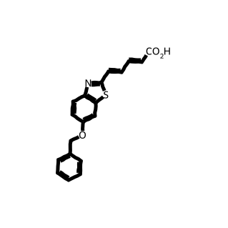 O=C(O)/C=C/C=Cc1nc2ccc(OCc3ccccc3)cc2s1